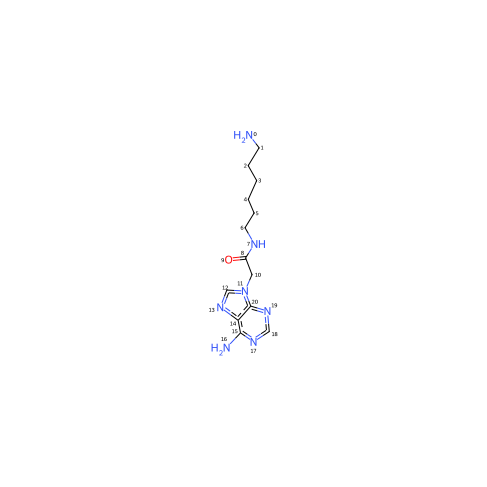 NCCCCCCNC(=O)Cn1cnc2c(N)ncnc21